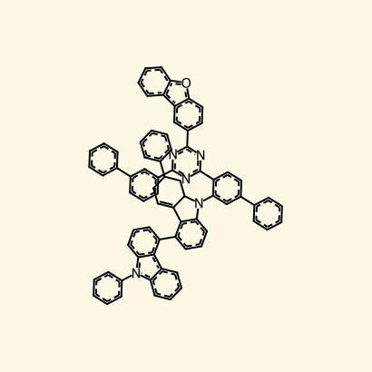 C1=C2c3c(-c4cccc5c4c4ccccc4n5-c4ccccc4)cccc3N(c3cc(-c4ccccc4)ccc3-c3nc(-c4cccc(-c5ccccc5)c4)nc(-c4ccc5oc6ccccc6c5c4)n3)C2CC(c2ccccc2)C1